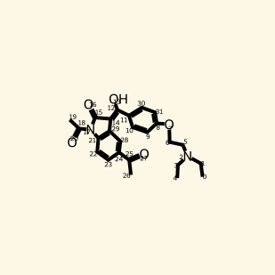 CCN(CC)CCOc1ccc(/C(O)=C2/C(=O)N(C(C)=O)c3ccc(C(C)=O)cc32)cc1